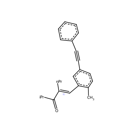 CCC/C(=C\c1cc(C#Cc2ccccc2)ccc1C)C(=O)C(C)C